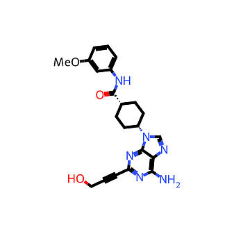 COc1cccc(NC(=O)[C@H]2CC[C@@H](n3cnc4c(N)nc(C#CCO)nc43)CC2)c1